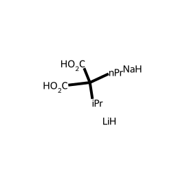 CCCC(C(=O)O)(C(=O)O)C(C)C.[LiH].[NaH]